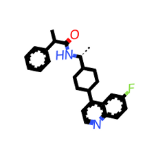 CC(C(=O)N[C@H](C)C1CCC(c2ccnc3ccc(F)cc23)CC1)c1ccccc1